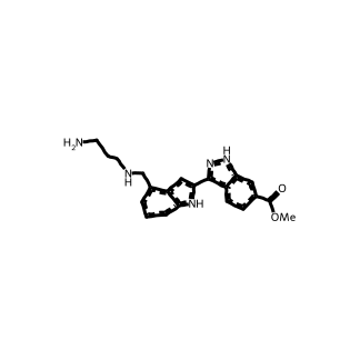 COC(=O)c1ccc2c(-c3cc4c(CNCCCN)cccc4[nH]3)n[nH]c2c1